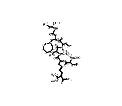 C=C(OC)/C(=C\C=C\CC(NC(=O)C(CC(C)C)N(C)C=O)C(=O)N(C)C(CC(C)C)C(=O)N(C)C(CC(C)C)C(=O)N[C@@H](CC(=O)N[C@@H](C=O)CC(C)C)CN1CCCCCOO1)C(N)=O